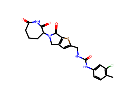 Cc1ccc(NC(=O)NCc2cc3c(s2)C(=O)N(C2CCCC(=O)NC2=O)C3)cc1Cl